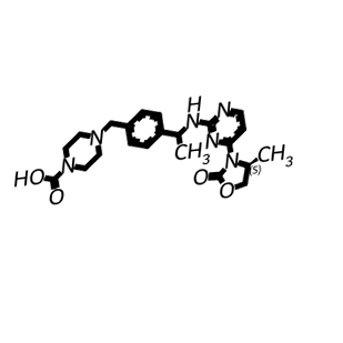 CC(Nc1nccc(N2C(=O)OC[C@@H]2C)n1)c1ccc(CN2CCN(C(=O)O)CC2)cc1